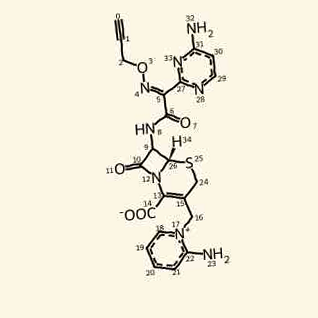 C#CCON=C(C(=O)NC1C(=O)N2C(C(=O)[O-])=C(C[n+]3ccccc3N)CS[C@@H]12)c1nccc(N)n1